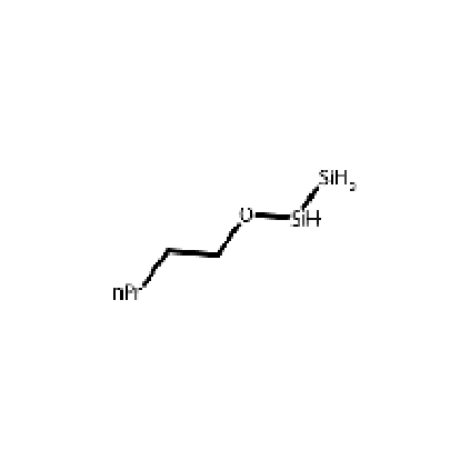 CCCCCO[SiH][SiH3]